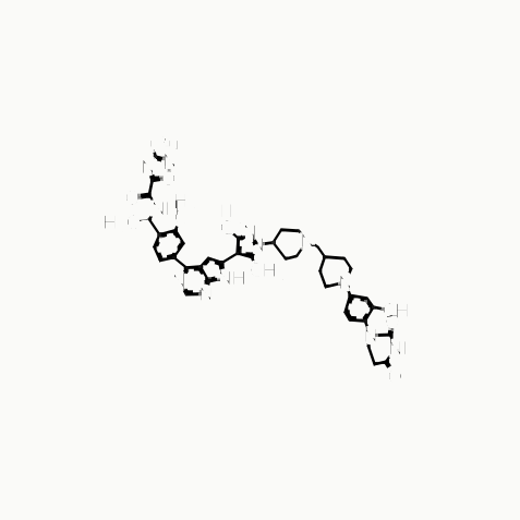 Cc1cc(-c2ncnc3[nH]c(-c4c(C)nn(C5CCN(CC6CCN(c7ccc(N8CCC(=O)NC8=O)c(C)c7)CC6)CC5)c4C)cc23)ccc1[C@@H](C)NC(=O)c1nc(C(C)(C)C)no1